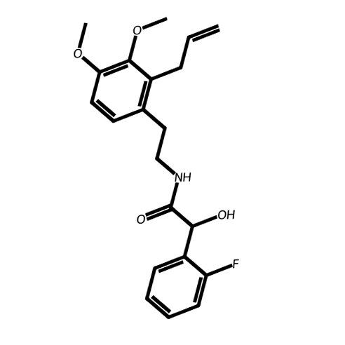 C=CCc1c(CCNC(=O)C(O)c2ccccc2F)ccc(OC)c1OC